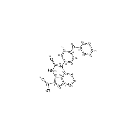 O=C(Cl)c1sc2nccc3c2c1NC(=O)N3c1ccc(Oc2ccccc2)nc1